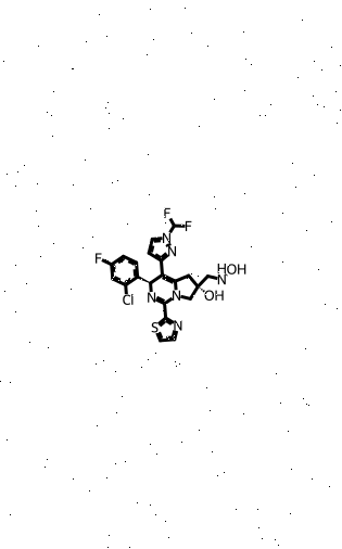 ONC[C@]1(O)CC2=C(c3ccn(C(F)F)n3)[C@H](c3ccc(F)cc3Cl)N=C(c3nccs3)N2C1